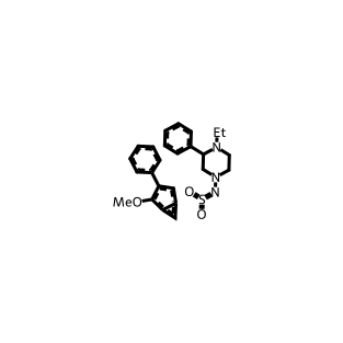 CCN1CCN(N=S(=O)=O)CC1c1ccccc1.COc1c(-c2ccccc2)cc2cc1-2